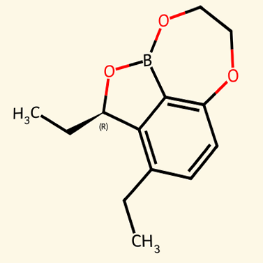 CCc1ccc2c3c1[C@@H](CC)OB3OCCO2